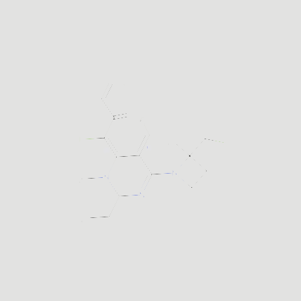 C=CC(=C)/C(F)=C1\C(=C/C)C(N2CCC2(C)CF)=NC(CC)N1C